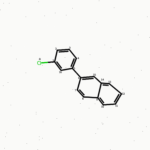 Clc1cccc(-c2ccc3ccccc3c2)c1